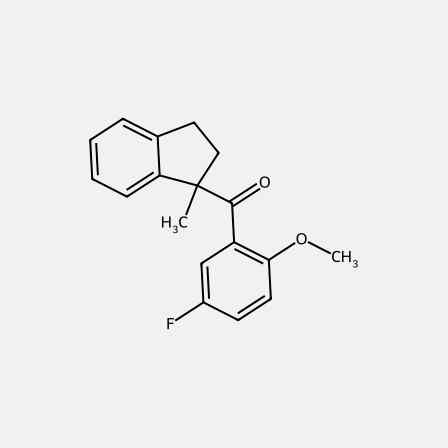 COc1ccc(F)cc1C(=O)C1(C)CCc2ccccc21